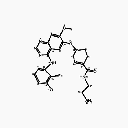 COc1cc2ncnc(Nc3cccc(Cl)c3F)c2cc1OC1CC=C(C(=O)NCCN)CC1